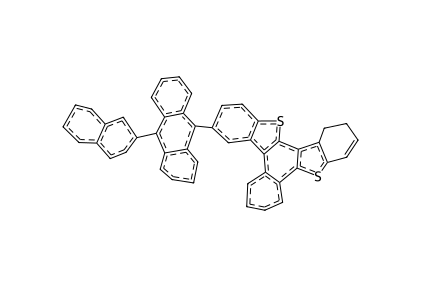 C1=Cc2sc3c4ccccc4c4c5cc(-c6c7ccccc7c(-c7ccc8ccccc8c7)c7ccccc67)ccc5sc4c3c2CC1